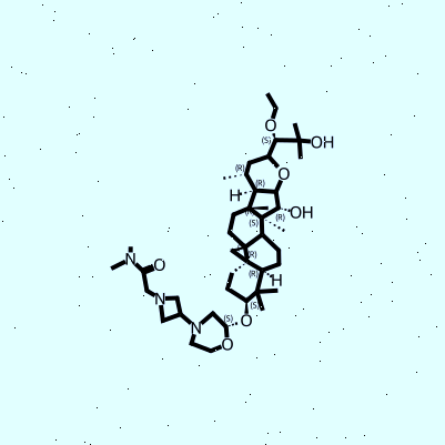 CCO[C@@H](C1C[C@@H](C)[C@H]2C(O1)[C@H](O)[C@@]1(C)C3CC[C@H]4C(C)(C)[C@@H](O[C@H]5CN(C6CN(CC(=O)N(C)C)C6)CCO5)CC[C@@]45C[C@@]35CC[C@]21C)C(C)(C)O